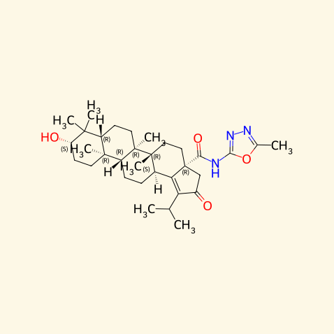 Cc1nnc(NC(=O)[C@@]23CC[C@]4(C)[C@H](CC[C@@H]5[C@@]6(C)CC[C@H](O)C(C)(C)[C@@H]6CC[C@]54C)C2=C(C(C)C)C(=O)C3)o1